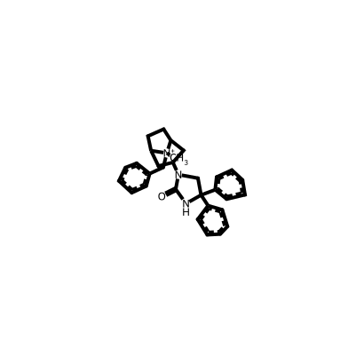 C[N+]1(Cc2ccccc2)C2CCC1CC(N1CC(c3ccccc3)(c3ccccc3)NC1=O)C2